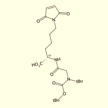 CC(C)(C)OC(=O)N(CC(=O)N[C@@H](CCCCN1C(=O)C=CC1=O)C(=O)O)C(C)(C)C